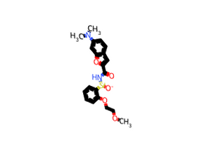 COCCOc1ccccc1[S+]([O-])NC(=O)c1cc2ccc(N(C)C)cc2o1